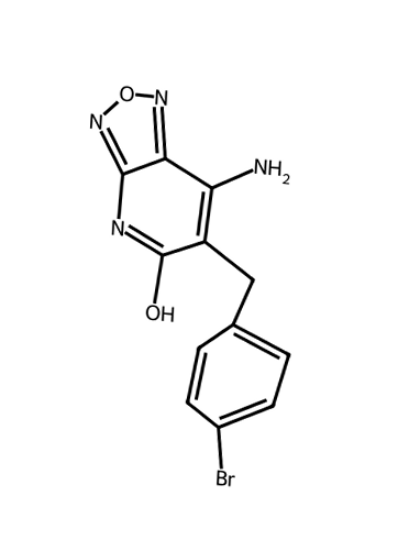 Nc1c(Cc2ccc(Br)cc2)c(O)nc2nonc12